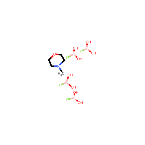 CN1CCOCC1.OB(O)F.OB(O)F.OB(O)F.OB(O)F